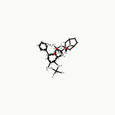 CC(C)(C)OC(=O)N1C2CCC1CN(c1nc3c(OC(F)(F)F)c(Cl)cc(-c4ccco4)c3o1)C2